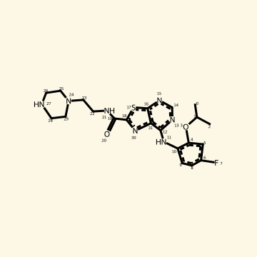 CC(C)Oc1cc(F)ccc1Nc1ncnc2sc(C(=O)NCCN3CCNCC3)nc12